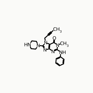 CC#CCn1c(N2CCNCC2)nc2nc(Nc3ccccc3)n(C)c(=O)c21